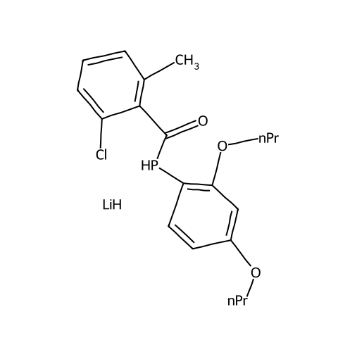 CCCOc1ccc(PC(=O)c2c(C)cccc2Cl)c(OCCC)c1.[LiH]